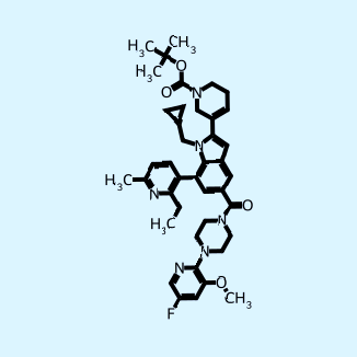 CCc1nc(C)ccc1-c1cc(C(=O)N2CCN(c3ncc(F)cc3OC)CC2)cc2cc(C3=CCCN(C(=O)OC(C)(C)C)C3)n(CC3CC3)c12